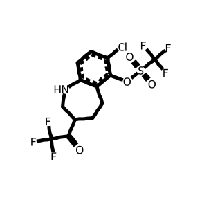 O=C(C1CCc2c(ccc(Cl)c2OS(=O)(=O)C(F)(F)F)NC1)C(F)(F)F